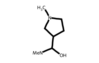 CNC(O)C1CCN(C)C1